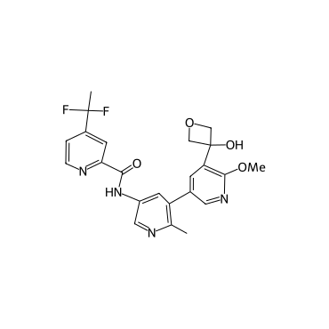 COc1ncc(-c2cc(NC(=O)c3cc(C(C)(F)F)ccn3)cnc2C)cc1C1(O)COC1